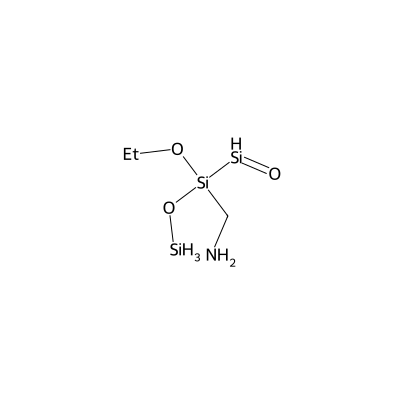 CCO[Si](CN)(O[SiH3])[SiH]=O